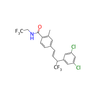 Cc1cc(C=CC(c2cc(Cl)cc(Cl)c2)C(F)(F)F)ccc1C(=O)NCC(F)(F)F